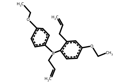 C=CCB(c1ccc(OCC)cc1)c1ccc(OCC)cc1CC=C